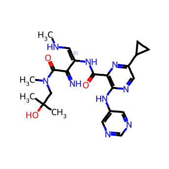 CN/C=C(/NC(=O)c1nc(C2CC2)cnc1Nc1cncnc1)C(=N)C(=O)N(C)CC(C)(C)O